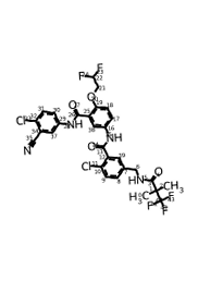 CC(C)(C(=O)NCc1ccc(Cl)c(C(=O)Nc2ccc(OCC(F)F)c(C(=O)Nc3ccc(Cl)c(C#N)c3)c2)c1)C(F)(F)F